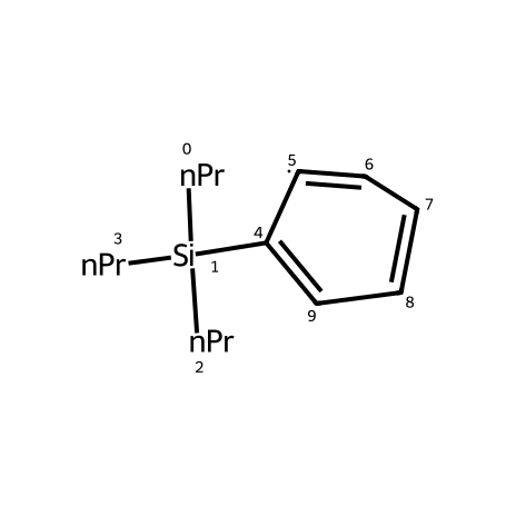 CCC[Si](CCC)(CCC)c1[c]cccc1